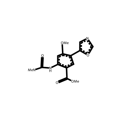 CNC(=O)Nc1cc(OC)c(-c2cnco2)cc1C(=O)OC